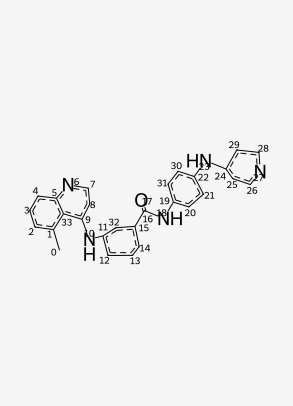 Cc1cccc2nccc(Nc3cccc(C(=O)Nc4ccc(Nc5ccncc5)cc4)c3)c12